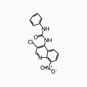 O=C(Nc1ccccc1)Nc1c(Cl)cnc2c([N+](=O)[O-])cccc12